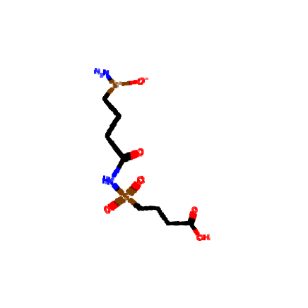 N[S+]([O-])CCCC(=O)NS(=O)(=O)CCCC(=O)O